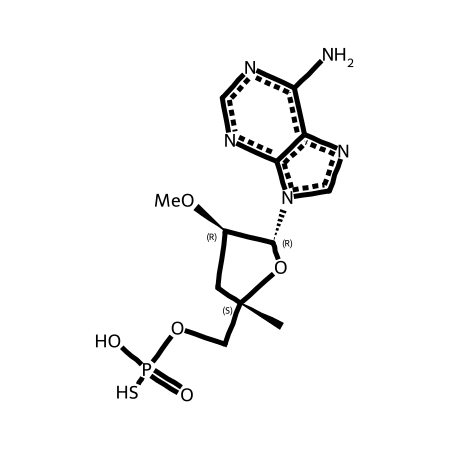 CO[C@@H]1C[C@@](C)(COP(=O)(O)S)O[C@H]1n1cnc2c(N)ncnc21